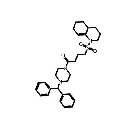 O=C(CCCS(=O)(=O)N1CCCC2CCCC=C21)N1CCN(C(c2ccccc2)c2ccccc2)CC1